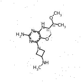 CNC1CN(c2nc(N)nc3c2OC[C@@H]([C@H](C)OC)N3)C1